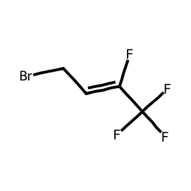 F/C(=C\CBr)C(F)(F)F